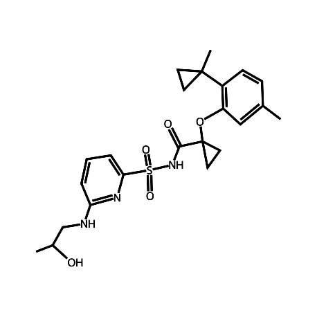 Cc1ccc(C2(C)CC2)c(OC2(C(=O)NS(=O)(=O)c3cccc(NCC(C)O)n3)CC2)c1